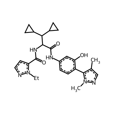 CCn1nccc1C(=O)NC(C(=O)Nc1ccc(-c2c(C)cnn2C)c(O)c1)C(C1CC1)C1CC1